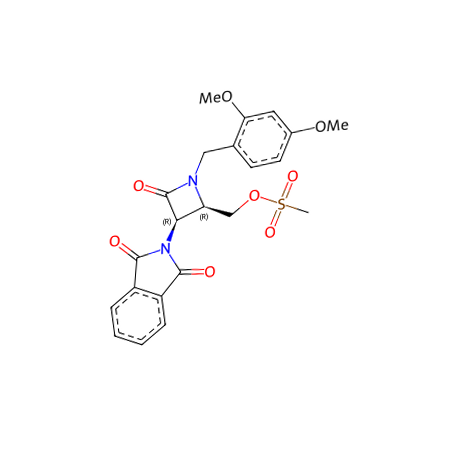 COc1ccc(CN2C(=O)[C@H](N3C(=O)c4ccccc4C3=O)[C@@H]2COS(C)(=O)=O)c(OC)c1